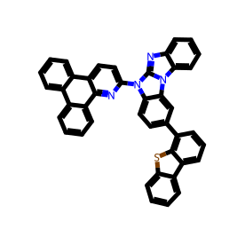 c1ccc2c(c1)nc1n(-c3ccc4c5ccccc5c5ccccc5c4n3)c3ccc(-c4cccc5c4sc4ccccc45)cc3n21